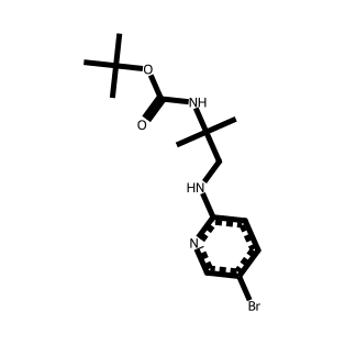 CC(C)(CNc1ccc(Br)cn1)NC(=O)OC(C)(C)C